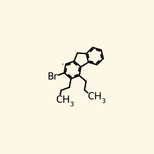 CCCc1c(Br)[c]c2c(c1CCC)-c1ccccc1C2